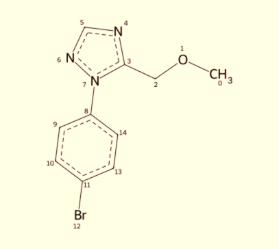 COCc1ncnn1-c1ccc(Br)cc1